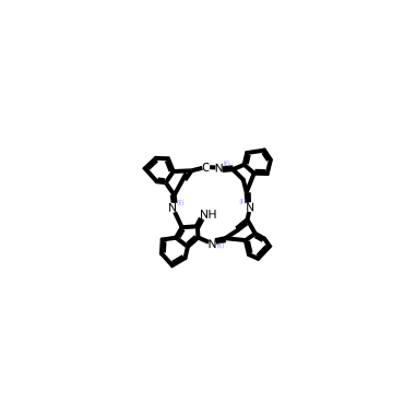 N=C1C2=c3ccccc3=C1/N=C1C=C(/N=C3\C/C(=N\CC4=C/C(=N\2)c2ccccc24)c2ccccc23)c2ccccc2\1